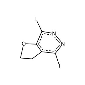 Ic1nnc(I)c2c1CCO2